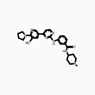 CN1CCC(NC(=O)c2cccc(Nc3nccc(-c4cnc(N5CCCC5)c(C#N)c4)n3)c2)CC1